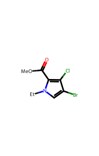 CCn1cc(Br)c(Cl)c1C(=O)OC